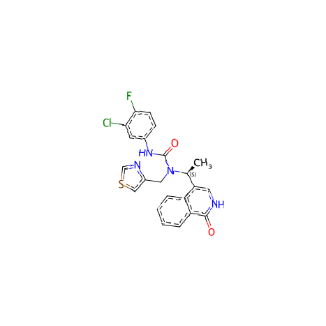 C[C@@H](c1c[nH]c(=O)c2ccccc12)N(Cc1cscn1)C(=O)Nc1ccc(F)c(Cl)c1